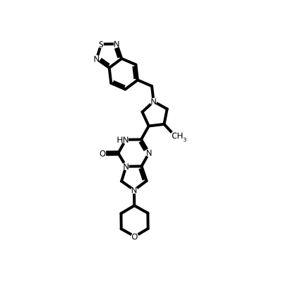 CC1CN(Cc2ccc3nsnc3c2)CC1C1=NC2=CN(C3CCOCC3)CN2C(=O)N1